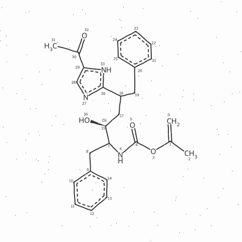 C=C(C)OC(=O)NC(Cc1ccccc1)[C@@H](O)CC(Cc1ccccc1)c1ncc(C(C)=O)[nH]1